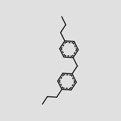 CCCc1ccc([CH]c2ccc(CCC)cc2)cc1